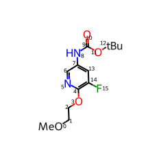 COCCOc1ncc(NC(=O)OC(C)(C)C)cc1F